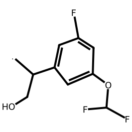 [CH2]C(CO)c1cc(F)cc(OC(F)F)c1